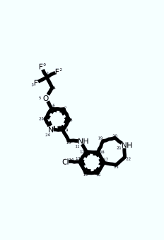 FC(F)(F)COc1ccc(CNc2c(Cl)ccc3c2CCNCC3)nc1